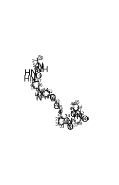 CC(C)(C)c1cc(NC(=O)Nc2ccc(-n3cnc4cc(OCCOCC#Cc5cccc6c5CN(C5CCC(=O)N(Cc7ccccc7)C5=O)C6=O)ccc43)cc2)[nH]n1